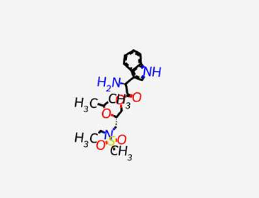 CCN(C[C@@H](COC(=O)[C@@H](N)c1c[nH]c2ccccc12)OC(C)C)S(C)(=O)=O